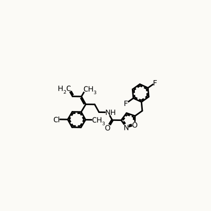 C=C/C(C)=C(/CCNC(=O)c1cc(Cc2cc(F)ccc2F)on1)c1cc(Cl)ccc1C